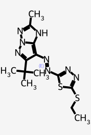 CCSc1nnc(/N=N/c2c(C(C)(C)C)nn3nc(C)[nH]c23)s1